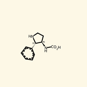 O=C(O)N[C@@H]1CCN[C@H]1c1ccccc1